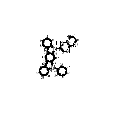 C1=NC2=NC=C(n3c4ccccc4c4cc5c6ccccc6n(-c6ccccc6)c5cc43)NC2N=C1